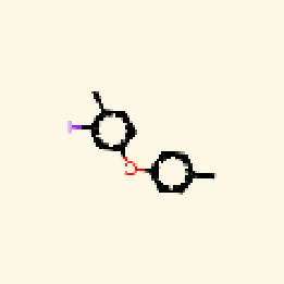 Cc1ccc(Oc2ccc(C)c(I)c2)cc1